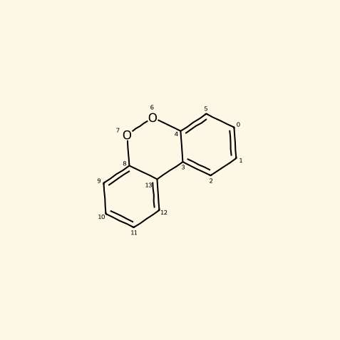 c1ccc2c(c1)OOc1ccccc1-2